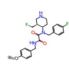 CC(C)COc1ccc(CNC(=O)C(=O)N(Cc2ccc(F)cc2)[C@@H]2CCNC[C@@H]2CF)cc1